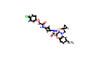 Cc1ccc2c(c1)N(CC1(O)CC1)C[C@H](C(=O)NC13CC(NC(=O)COc4ccc(Cl)c(F)c4)(C1)C3)O2